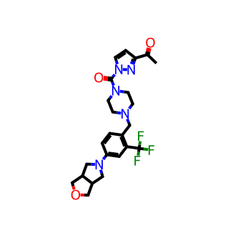 CC(=O)c1ccn(C(=O)N2CCN(Cc3ccc(N4CC5COCC5C4)cc3C(F)(F)F)CC2)n1